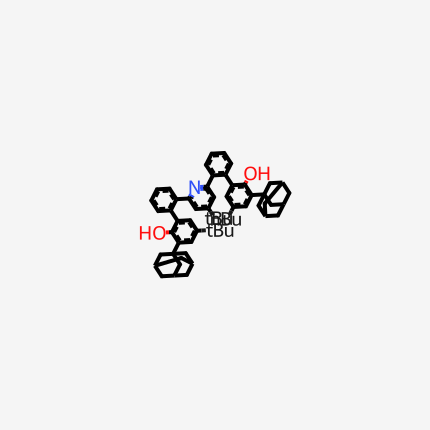 CCCCc1cc(-c2ccccc2-c2cc(C(C)(C)C)cc(C34CC5CC(CC(C5)C3)C4)c2O)nc(-c2ccccc2-c2cc(C(C)(C)C)cc(C34CC5CC(CC(C5)C3)C4)c2O)c1